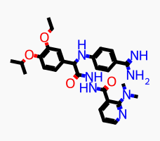 CCOc1cc(C(Nc2ccc(C(=N)N)cc2)C(=O)NNC(=O)c2cccnc2N(C)C)ccc1OC(C)C